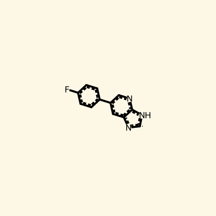 Fc1ccc(-c2cnc3[nH][c]nc3c2)cc1